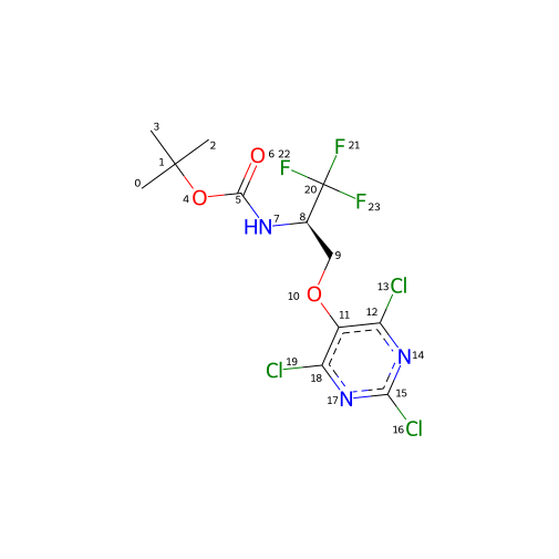 CC(C)(C)OC(=O)N[C@H](COc1c(Cl)nc(Cl)nc1Cl)C(F)(F)F